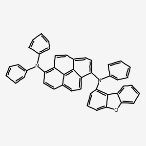 c1ccc(N(c2ccccc2)c2ccc3ccc4c(N(c5ccccc5)c5cccc6oc7ccccc7c56)ccc5ccc2c3c54)cc1